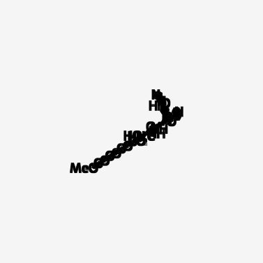 COCCOCCOCCOCCOCCOCCOCCOCCC(=O)NCCCC[C@H](NC(=O)O)C(=O)NCCCCCCn1nc(-c2ccc(NC(=O)N3Cc4ccncc4C3)cc2)cc(-c2cccc3ncccc23)c1=O